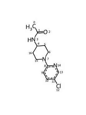 CC(=O)NC1CCN(c2ccc(Cl)cn2)CC1